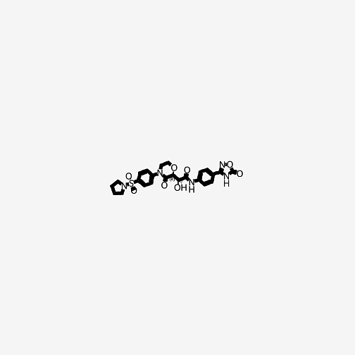 O=C(Nc1ccc(-c2noc(=O)[nH]2)cc1)[C@H](O)[C@H]1OCCN(c2ccc(S(=O)(=O)N3CCCC3)cc2)C1=O